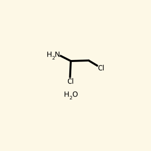 NC(Cl)CCl.O